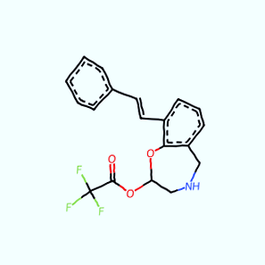 O=C(OC1CNCc2cccc(C=Cc3ccccc3)c2O1)C(F)(F)F